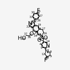 O=S(=O)(c1ccc(N2CC[C@@H](F)C2)nc1)N1CCC2=Cc3c(cnn3-c3ccc(F)cc3)C[C@]2(COCCO)C1